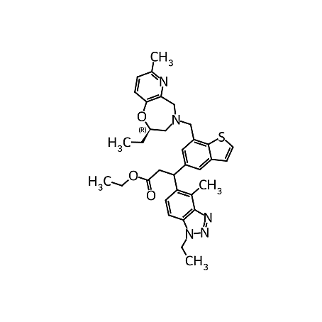 CCOC(=O)CC(c1cc(CN2Cc3nc(C)ccc3O[C@H](CC)C2)c2sccc2c1)c1ccc2c(nnn2CC)c1C